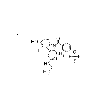 CCNC(=O)Cc1c(C)n(C(=O)c2ccc(OC(F)(F)F)cc2)c2ccc(O)c(F)c12